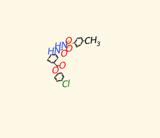 Cc1ccc(S(=O)(=O)NC(=O)Nc2cccc(C(=O)Oc3ccc(Cl)cc3)c2)cc1